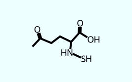 CC(=O)CCC(NS)C(=O)O